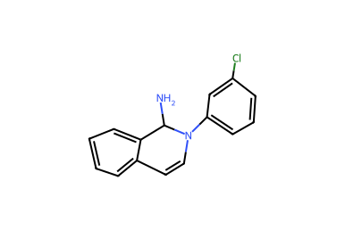 NC1c2ccccc2C=CN1c1cccc(Cl)c1